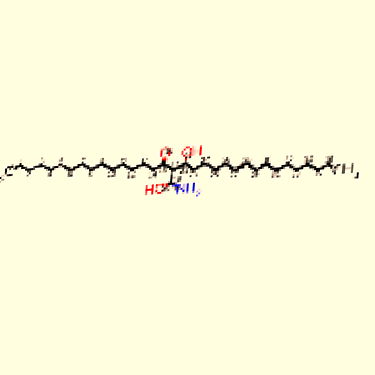 CCCCCCCCCCCCCCCC(=O)[C@H](C(N)O)[C@H](O)CCCCCCCCCCCCCCC